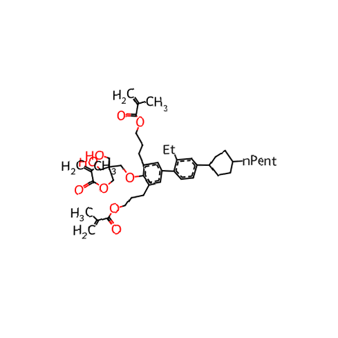 C=C(C)C(=O)OCCCc1cc(-c2ccc(C3CCC(CCCCC)CC3)cc2CC)cc(CCCOC(=O)C(=C)C)c1OCC(CO)(CO)COC(=O)C(=C)C